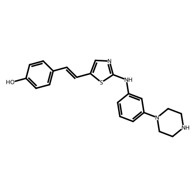 Oc1ccc(/C=C/c2cnc(Nc3cccc(N4CCNCC4)c3)s2)cc1